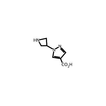 O=C(O)c1cnn(C2CNC2)c1